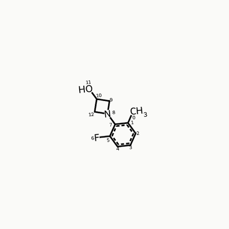 Cc1cccc(F)c1N1CC(O)C1